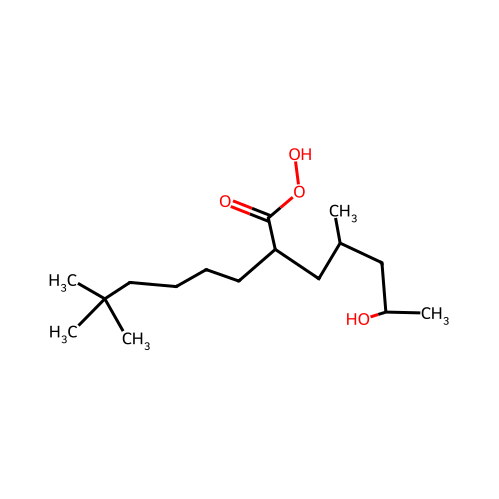 CC(O)CC(C)CC(CCCCC(C)(C)C)C(=O)OO